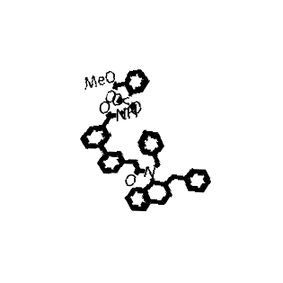 COC(=O)c1ccccc1S(=O)(=O)NC(=O)c1cccc(-c2cccc(CC(=O)N(Cc3ccccc3)C3c4ccccc4CCC3Cc3ccccc3)c2)c1